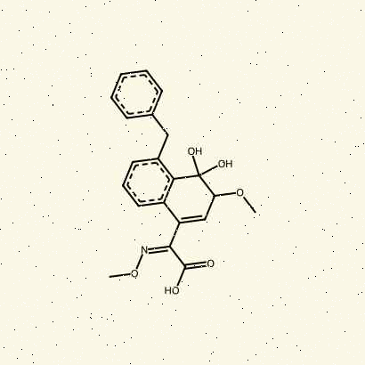 CON=C(C(=O)O)C1=CC(OC)C(O)(O)c2c(Cc3ccccc3)cccc21